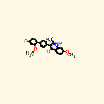 COc1ccc2c(=O)c(-c3ccc(-c4ccc(F)cc4OC)cc3)c(C)[nH]c2c1